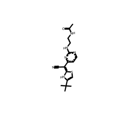 CC(=O)NCCNc1nccc(/C(C#N)=C2/NC(C(C)(C)C)=CS2)n1